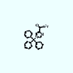 CCCC(=O)c1cn(C(c2ccccc2)(c2ccccc2)c2ccccc2)cn1